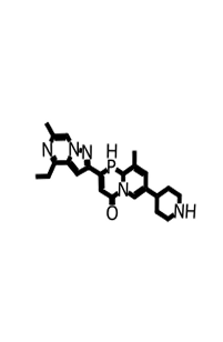 CCc1nc(C)cn2nc(C3=CC(=O)N4C=C(C5CCNCC5)C=C(C)C4P3)cc12